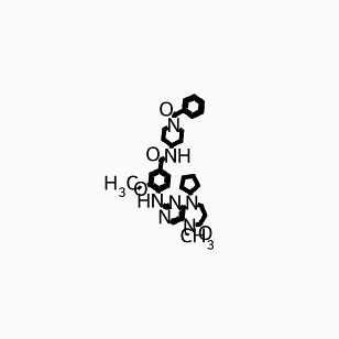 COc1cc(C(=O)NC2CCN(C(=O)c3ccccc3)CC2)ccc1Nc1ncc2c(n1)N(C1CCCC1)CCC(=O)N2C